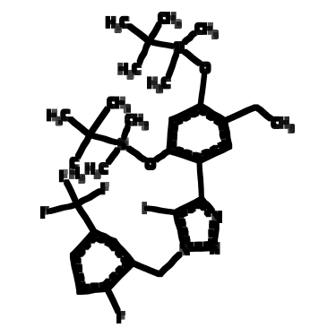 CCc1cc(-c2nnn(Cc3cc(C(F)(F)F)ccc3F)c2I)c(O[Si](C)(C)C(C)(C)C)cc1O[Si](C)(C)C(C)(C)C